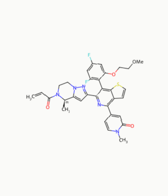 C=CC(=O)N1CCn2nc(-c3nc(-c4ccn(C)c(=O)c4)c4ccsc4c3-c3c(F)cc(F)cc3OCCOC)cc2[C@H]1C